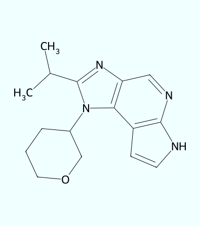 CC(C)c1nc2cnc3[nH]ccc3c2n1C1CCCOC1